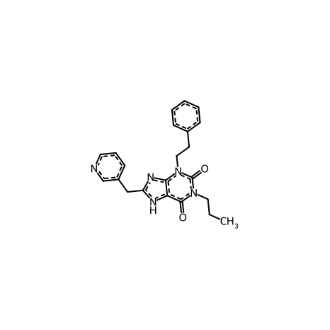 CCCn1c(=O)c2[nH]c(Cc3cccnc3)nc2n(CCc2ccccc2)c1=O